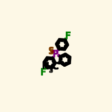 Cc1ccccc1P(=S)(c1ccc(F)cc1)c1ccc(F)cc1